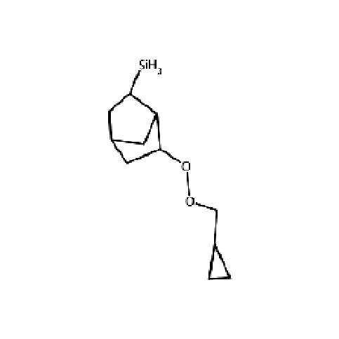 [SiH3]C1CC2CC(OOCC3CC3)C1C2